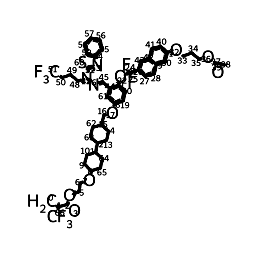 C=C(C(=O)OCCOC1CCC(C2CCC(COc3ccc(OC(F)(F)c4ccc5cc(OCCCOC6CO6)ccc5c4)c(/C=N/N(CCCC(F)(F)F)c4nc5ccccc5s4)c3)CC2)CC1)C(F)(F)F